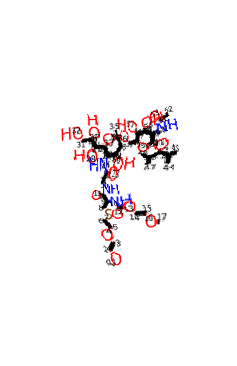 COCCOCCSCC(NC(=O)OCCOC)C(=O)NCC(=O)N[C@H]1C([C@H](O)[C@H](O)CO)O[C@](C)(OCC2O[C@H](OC(C(C)C)C(C)C)C(NC(C)=O)[C@@H](O)[C@H]2O)C[C@H]1O